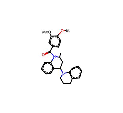 CCOc1ccc(C(=O)N2c3ccccc3C(N3CCCc4ccccc43)CC2C)cc1OC